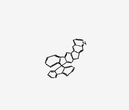 c1ccc2c(c1)-c1ccccc1C21c2ccccc2-c2cc3c(cc21)Cc1cc2ncccc2cc1-3